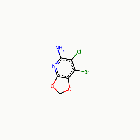 Nc1nc2c(c(Br)c1Cl)OCO2